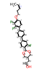 C/C=C\CCOc1ccc(-c2ccc(-c3ccc(C4OCC(CBO)CO4)c(F)c3)cc2)c(F)c1F